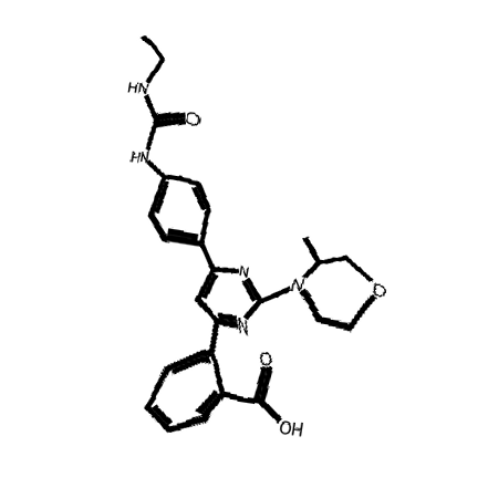 CCNC(=O)Nc1ccc(-c2cc(-c3ccccc3C(=O)O)nc(N3CCOCC3C)n2)cc1